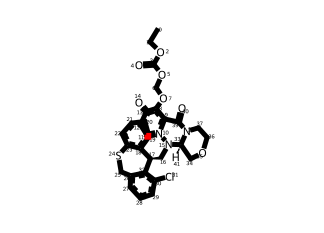 CCOC(=O)OCOc1c2n(ccc1=O)N(C[C@@H]1c3ccccc3SCc3cccc(Cl)c31)[C@@H]1COCCN1C2=O